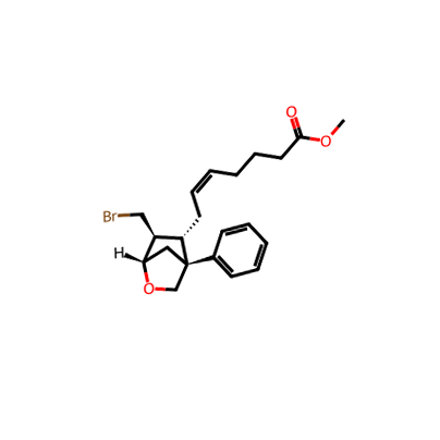 COC(=O)CCC/C=C\C[C@H]1[C@H](CBr)[C@@H]2C[C@@]1(c1ccccc1)CO2